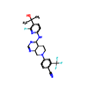 CC(C)(O)c1ccc(NC2=NC=NC3CN(c4ccc(C#N)c(C(F)(F)F)c4)CCC23)nc1F